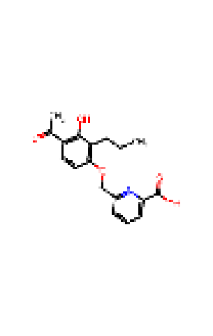 CCCc1c(OCc2cccc(C(=O)O)n2)ccc(C(C)=O)c1O